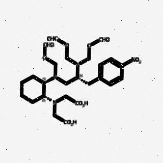 O=COCN(COC=O)[C@H](Cc1ccc([N+](=O)[O-])cc1)CN(COC=O)[C@@H]1CCCC[C@H]1N(CC(=O)O)CC(=O)O